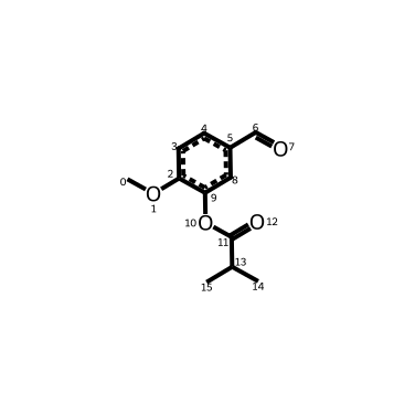 COc1ccc(C=O)cc1OC(=O)C(C)C